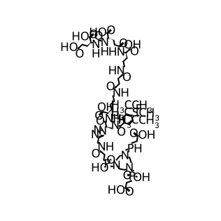 CC(C)(C)S(F)(c1ccc(C(=O)NC[C@H](C(=O)N[C@H](CCCCNC(=O)CCC(=O)NCCC[C@@H](NC(=O)CC[C@H](NC(=O)N[C@@H](CCC(=O)O)C(=O)O)C(=O)O)C(=O)O)C(=O)O)n2cc(CNC(=O)CCP(=O)(O)CN3CCN(CPCCC(=O)O)CCN(CP(=O)(O)CCC(=O)O)CC3)nn2)cc1)C(C)(C)C